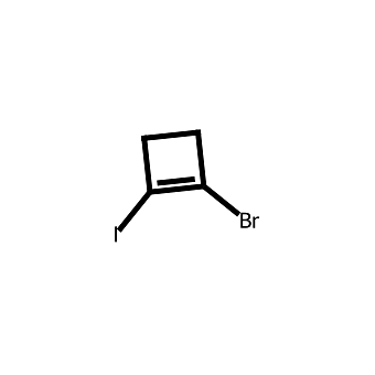 BrC1=C(I)CC1